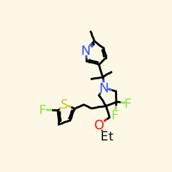 CCOCC1(CCc2ccc(F)s2)CN(C(C)(C)c2ccc(C)nc2)CC1(F)F